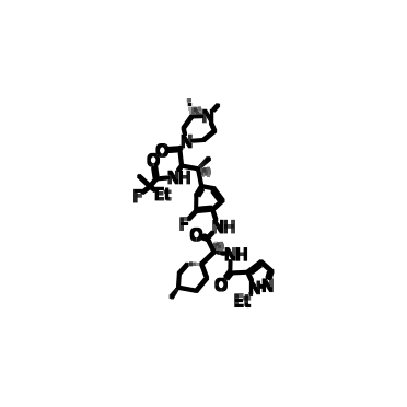 CCn1nccc1C(=O)N[C@H](C(=O)Nc1ccc([C@H](C)C(NC(=O)C(C)(F)CC)C(=O)N2CCN(C)[C@@H](C)C2)cc1F)[C@H]1CC[C@H](C)CC1